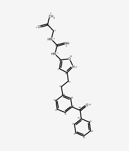 CC(=O)CNC(=N)Nc1cc(CCc2cccc(C(=O)c3ccccc3)c2)no1